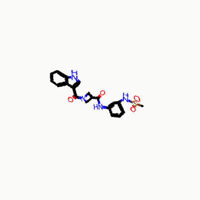 CS(=O)(=O)Nc1cccc(NC(=O)C2CN(C(=O)c3c[nH]c4ccccc34)C2)c1